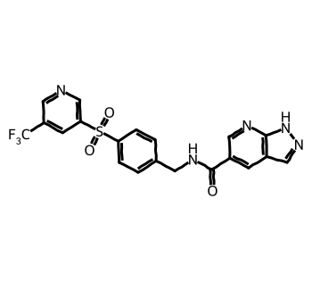 O=C(NCc1ccc(S(=O)(=O)c2cncc(C(F)(F)F)c2)cc1)c1cnc2[nH]ncc2c1